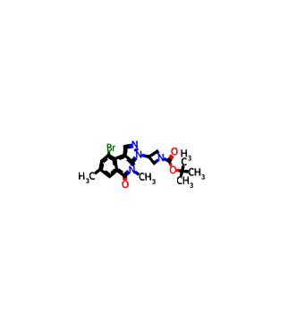 Cc1cc(Br)c2c(c1)c(=O)n(C)c1c2cnn1C1CN(C(=O)OC(C)(C)C)C1